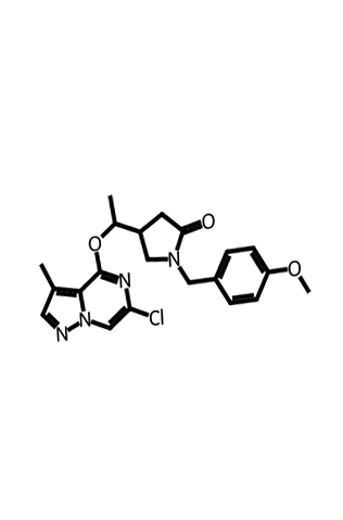 COc1ccc(CN2CC(C(C)Oc3nc(Cl)cn4ncc(C)c34)CC2=O)cc1